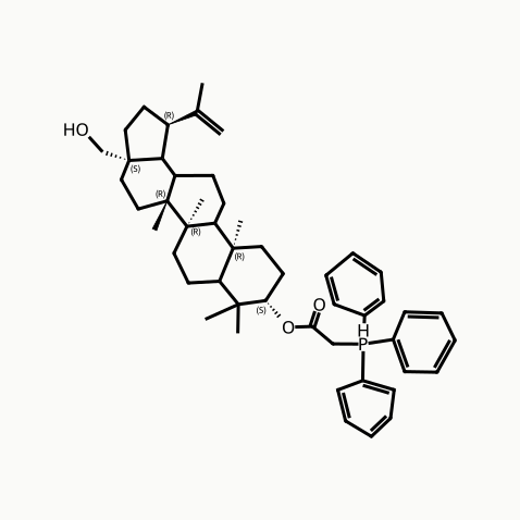 C=C(C)[C@@H]1CC[C@]2(CO)CC[C@]3(C)C(CCC4[C@@]5(C)CC[C@H](OC(=O)C[PH](c6ccccc6)(c6ccccc6)c6ccccc6)C(C)(C)C5CC[C@]43C)C12